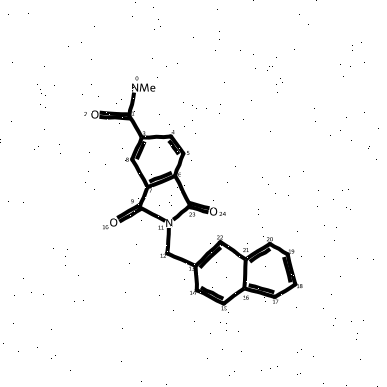 CNC(=O)c1ccc2c(c1)C(=O)N(Cc1ccc3ccccc3c1)C2=O